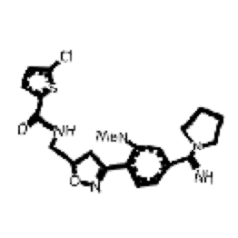 CNc1cc(C(=N)N2CCCC2)ccc1C1=NOC(CNC(=O)c2ccc(Cl)s2)C1